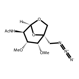 CO[C@@H]1[C@@H](NC(C)=O)[C@H]2OC[C@](CN=[N+]=[N-])(O2)[C@@H]1OC